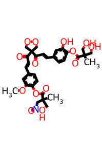 COc1cc(/C=C/C(=O)C2(C(=O)/C=C/c3ccc(OC(=O)C(C)(CO)CO)c(O)c3)COOC2)ccc1OC(=O)C(C)(CO)CN=O